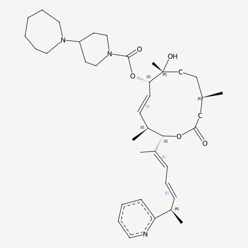 C/C(=C\C=C\[C@@H](C)c1ccccn1)[C@H]1OC(=O)C[C@H](C)CC[C@@](C)(O)[C@@H](OC(=O)N2CCC(N3CCCCCC3)CC2)/C=C/[C@@H]1C